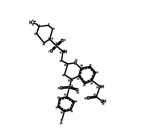 CC1CCN(S(=O)(=O)NCC2CN(S(=O)(=O)c3ccc(F)cc3)c3cc(NC(=O)O)ccc3O2)CC1